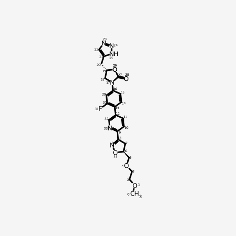 COCCOC[C@@H]1CC(c2ccc(-c3ccc(N4C[C@H](Cc5cnn[nH]5)OC4=O)cc3F)cn2)=NO1